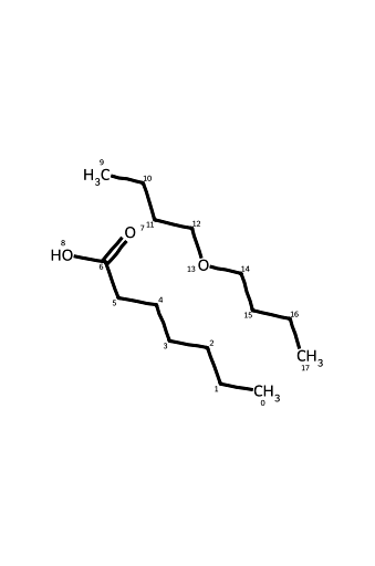 CCCCCCC(=O)O.CCCCOCCCC